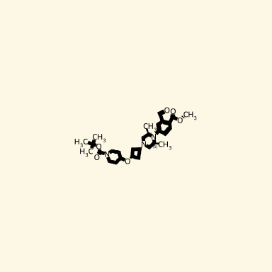 COC(=O)c1ccc(N2[C@H](C)CN([C@H]3C[C@H](OC4CCN(C(=O)OC(C)(C)C)CC4)C3)C[C@@H]2C)cc1C=O